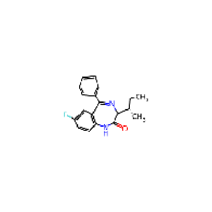 CC[C@H](C)C1N=C(c2ccccc2)c2cc(F)ccc2NC1=O